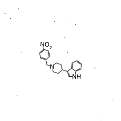 O=[N+]([O-])c1ccc(CN2CCC(c3c[nH]c4ccccc34)CC2)cc1